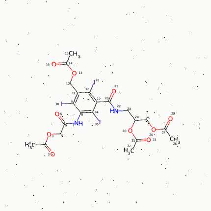 CC(=O)OCC(=O)Nc1c(I)c(COC(C)=O)c(I)c(C(=O)NCC(COC(C)=O)OC(C)=O)c1I